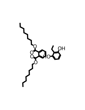 CCCCCCCCOC(=O)c1ccccc1C(=O)OCCCCCCCC.CCc1c(O)cccc1O